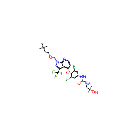 CC(C)(O)CNC(=O)Nc1cc(F)c(Oc2ccnc3c2c(C(F)(F)F)cn3COCC[Si](C)(C)C)c(F)c1